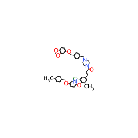 Cc1ccc(COc2ccc(Oc3c(C)cc(C=CC(=O)N4CCN(Cc5ccc(COc6ccc7c(c6)OCO7)cc5)CC4)cc3Cl)nc2)cc1